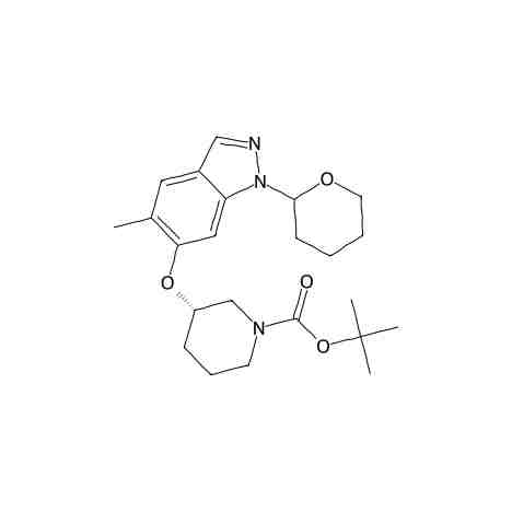 Cc1cc2cnn(C3CCCCO3)c2cc1O[C@H]1CCCN(C(=O)OC(C)(C)C)C1